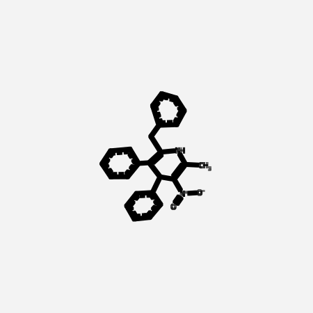 CC1=C([N+](=O)[O-])C(c2ccccc2)C(c2ccccc2)=C(Cc2ccccc2)N1